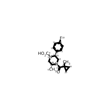 C[C@@H]1CN(C(=O)O)[C@@H](c2ccc(F)cc2)CN1C(=O)C1(C)CC1